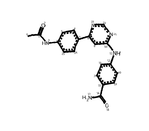 CC(=O)Nc1ccc(-c2cc(Nc3ccc(C(N)=O)cc3)ncn2)cc1